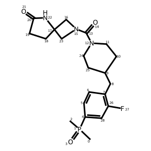 CP(C)(=O)c1ccc(CC2CCN(C(=O)N3CC4(CCC(=O)N4)C3)CC2)c(F)c1